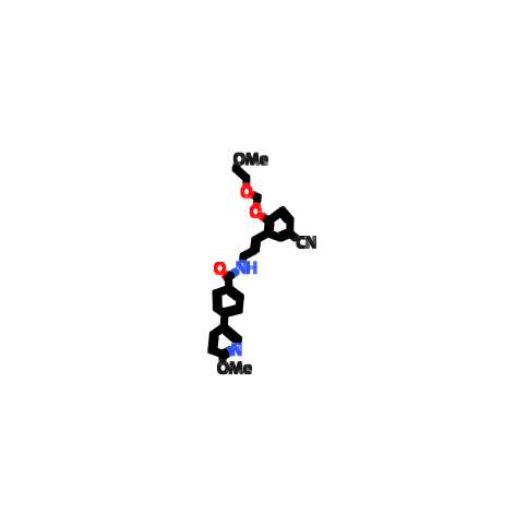 COCCOCOc1ccc(C#N)cc1C=CCNC(=O)c1ccc(-c2ccc(OC)nc2)cc1